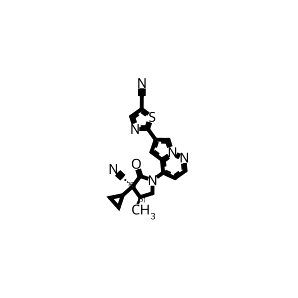 C[C@@H]1CN(c2ccnn3cc(-c4ncc(C#N)s4)cc23)C(=O)[C@]1(C#N)C1CC1